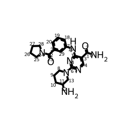 NC(=O)c1cnc(N2CCCC(N)C2)nc1Nc1cccc(C(=O)N2CCCC2)c1